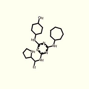 CCC(Nc1nc(NC2CCCCCC2)nc(NC2CCC(O)CC2)n1)C1CCCN1